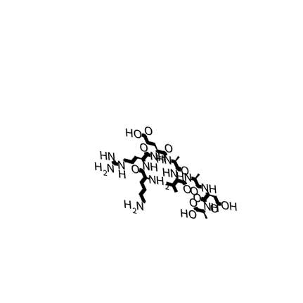 CC(C)[C@H](NC(=O)[C@H](C)NC(=O)[C@H](CCC(=O)O)NC(=O)[C@H](CCCNC(=N)N)NC(=O)[C@@H](N)CCCCN)C(=O)N[C@@H](C)C(=O)N[C@@H](CC(=O)O)C(=O)N[C@@H](C)C(=O)O